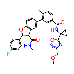 CNC(=O)C1c2cc(-c3cc(C(=O)NC4(c5nc(COC)no5)CC4)ccc3C)ccc2OC1c1ccc(F)cc1